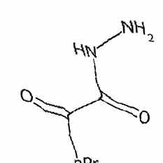 CCCC(=O)C(=O)NN